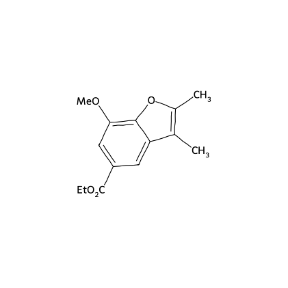 CCOC(=O)c1cc(OC)c2oc(C)c(C)c2c1